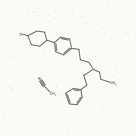 CC#N.CCCN(CCCc1ccc(C2CCC(Cl)CC2)cc1)CCc1ccccc1